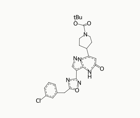 CC(C)(C)OC(=O)N1CCC(c2cc(=O)[nH]c3c(-c4noc(Cc5cccc(Cl)c5)n4)cnn23)CC1